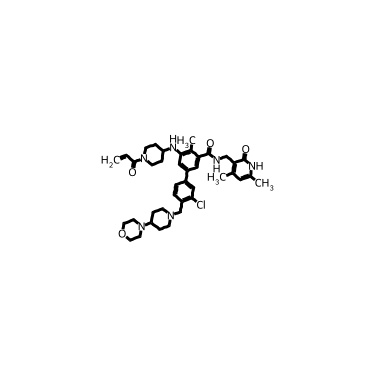 C=CC(=O)N1CCC(Nc2cc(-c3ccc(CN4CCC(N5CCOCC5)CC4)c(Cl)c3)cc(C(=O)NCc3c(C)cc(C)[nH]c3=O)c2C)CC1